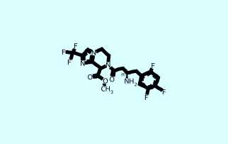 COC(=O)C1c2nc(C(F)(F)F)cn2CCN1C(=O)C[C@H](N)Cc1cc(F)c(F)cc1F